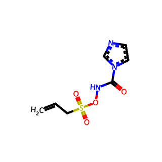 C=CCS(=O)(=O)ONC(=O)n1ccnc1